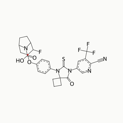 N#Cc1ncc(N2C(=O)C3(CCC3)N(c3ccc(OC4CC5CCC(C4F)N5C(=O)O)cc3)C2=S)cc1C(F)(F)F